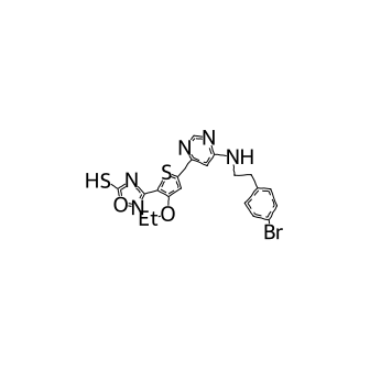 CCOc1cc(-c2cc(NCCc3ccc(Br)cc3)ncn2)sc1-c1noc(S)n1